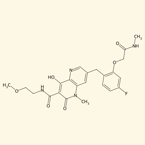 CNC(=O)COc1cc(F)ccc1Cc1cnc2c(O)c(C(=O)NCCOC)c(=O)n(C)c2c1